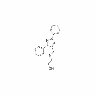 OCC/N=C/c1cn(-c2ccccc2)nc1-c1ccccc1